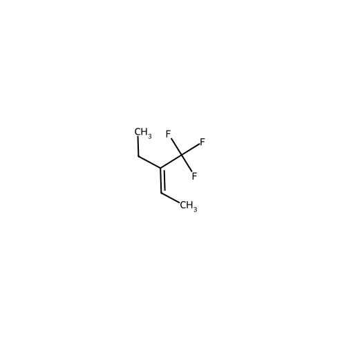 C/C=C(/CC)C(F)(F)F